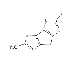 Cc1cc2c(s1)-c1sc(I)cc1C2